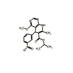 COc1ncnc2c1C(c1cccc([N+](=O)[O-])c1)C(C(=O)OC(C)C)=C(C)N2